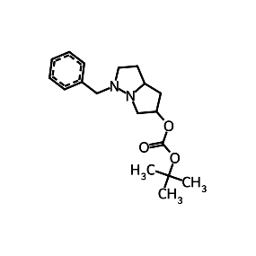 CC(C)(C)OC(=O)OC1CC2CCN(Cc3ccccc3)N2C1